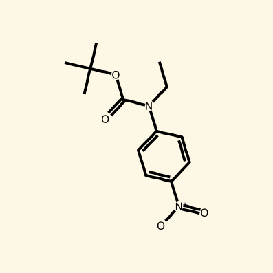 CCN(C(=O)OC(C)(C)C)c1ccc([N+](=O)[O-])cc1